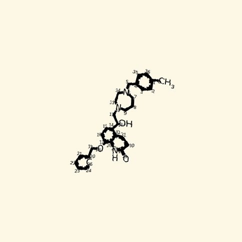 Cc1ccc(CN2CCCN(C[C@H](O)c3ccc(OCc4ccccc4)c4[nH]c(=O)ccc34)CC2)cc1